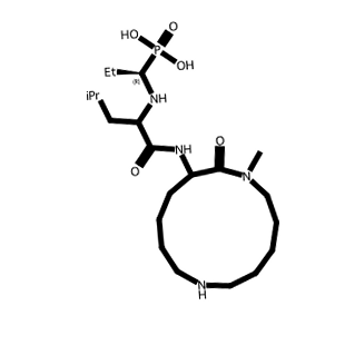 CC[C@H](NC(CC(C)C)C(=O)NC1CCCCNCCCCCN(C)C1=O)P(=O)(O)O